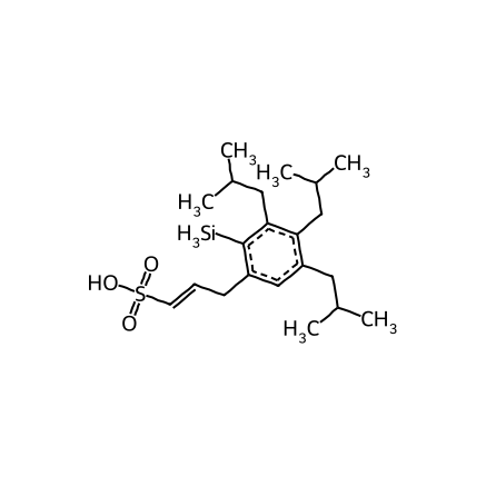 CC(C)Cc1cc(CC=CS(=O)(=O)O)c([SiH3])c(CC(C)C)c1CC(C)C